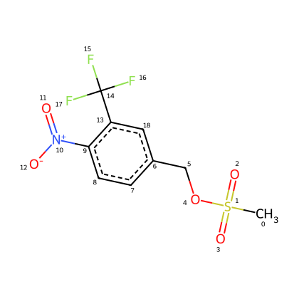 CS(=O)(=O)OCc1ccc([N+](=O)[O-])c(C(F)(F)F)c1